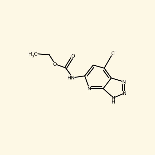 CCOC(=O)Nc1cc(Cl)c2nn[nH]c2n1